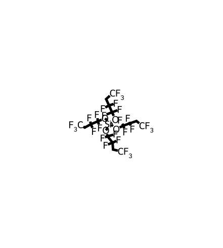 FC(F)(F)CC(F)(F)C(F)(F)O[Si](OC(F)(F)C(F)(F)CC(F)(F)F)(OC(F)(F)C(F)(F)CC(F)(F)F)OC(F)(F)C(F)(F)CC(F)(F)F